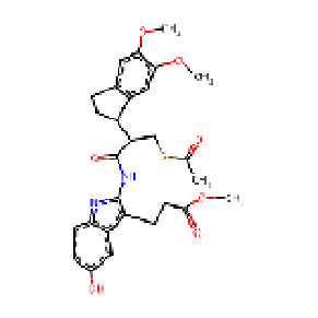 COC(=O)CCc1c(NC(=O)C(CSC(C)=O)C2CCc3cc(OC)c(OC)cc32)[nH]c2ccc(O)cc12